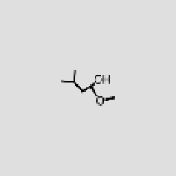 COC(O)CC(C)C